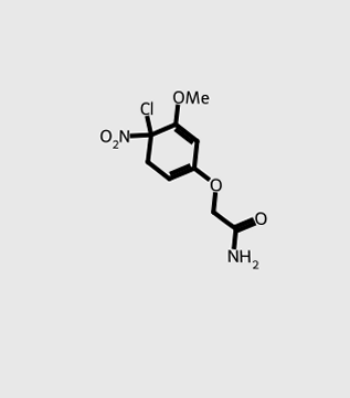 COC1=CC(OCC(N)=O)=CCC1(Cl)[N+](=O)[O-]